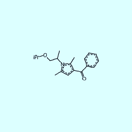 Cc1cc(C(=O)c2ccccc2)c(C)n1C(C)COC(C)C